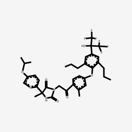 CCCc1cc(C(O)(C(F)(F)F)C(F)(F)F)cc(CCC)c1Oc1ccc(C(=O)CN2C(=O)NC(C)(c3ccc(OC(C)C)cn3)C2=O)c(C)c1